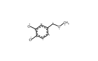 COCc1ccc(Cl)c(Cl)c1